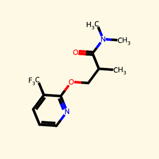 CC(COc1ncccc1C(F)(F)F)C(=O)N(C)C